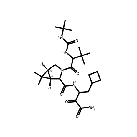 CC(C)(C)NC(=O)NC(C(=O)N1C[C@@H]2[C@H](C1C(=O)NC(CC1CCC1)C(=O)C(N)=O)C2(C)C)C(C)(C)C